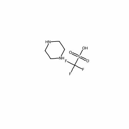 C1CNCCN1.O=S(=O)(O)C(F)(F)F